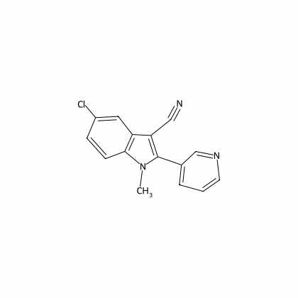 Cn1c(-c2cccnc2)c(C#N)c2cc(Cl)ccc21